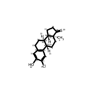 C[C@]12CC[C@@H]3c4cc(Cl)c(O)cc4CC[C@H]3[C@@H]1CCC2=S